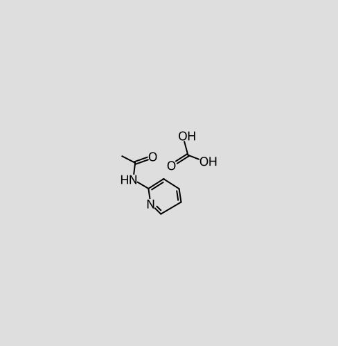 CC(=O)Nc1ccccn1.O=C(O)O